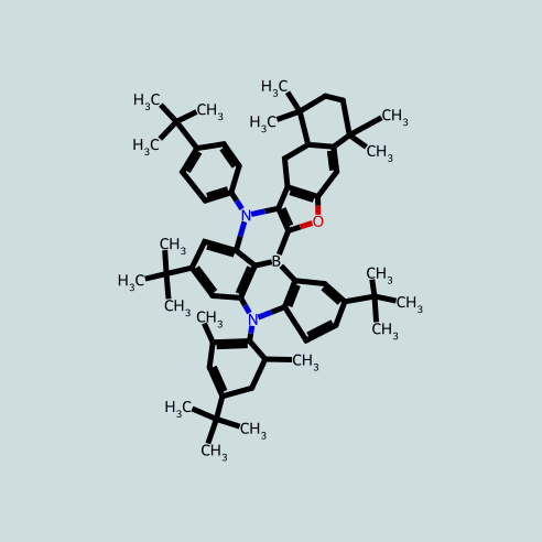 CC1=C(N2c3ccc(C(C)(C)C)cc3B3c4oc5c(c4N(c4ccc(C(C)(C)C)cc4)c4cc(C(C)(C)C)cc2c43)CC2C(=C5)C(C)(C)CCC2(C)C)C(C)CC(C(C)(C)C)=C1